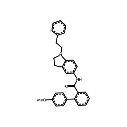 COc1ccc(-c2ccccc2C(=O)Nc2ccc3c(c2)CCN3CCc2ccccn2)cc1